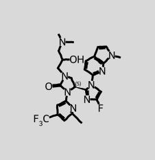 Cc1cc(C(F)(F)F)cc(N2C(=O)N(CC(O)CN(C)C)C[C@H]2c2nc(F)cn2-c2ccc3ccn(C)c3n2)n1